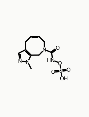 Cn1ncc2c1CN(C(=O)NOS(=O)(=O)O)CC=CC2